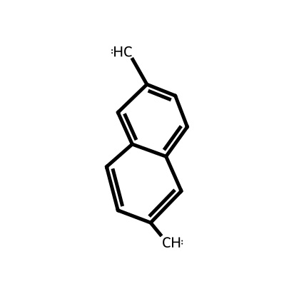 [CH]c1ccc2cc([CH])ccc2c1